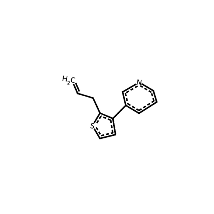 C=CCc1sccc1-c1cccnc1